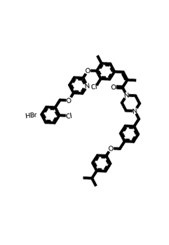 Br.CC(=Cc1cc(C)c(Oc2ccc(OCc3ccccc3Cl)cn2)c(Cl)c1)C(=O)N1CCN(Cc2ccc(COc3ccc(C(C)C)cc3)cc2)CC1